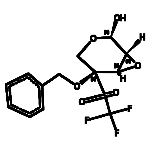 O=S(=O)(C(F)(F)F)[C@]1(OCc2ccccc2)CO[C@H](O)[C@H]2O[C@H]21